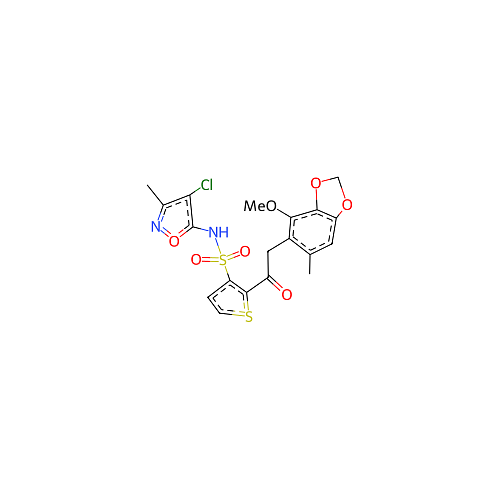 COc1c(CC(=O)c2sccc2S(=O)(=O)Nc2onc(C)c2Cl)c(C)cc2c1OCO2